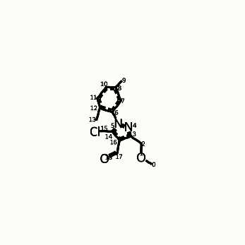 COCc1nn(-c2cc(C)ccc2C)c(Cl)c1C=O